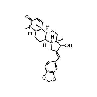 CN1C(=O)C=C[C@]2(C)[C@H]3CC[C@]4(C)[C@@H](O)C(=Cc5ccc6c(c5)OCO6)C[C@H]4[C@@H]3CC[C@@H]12